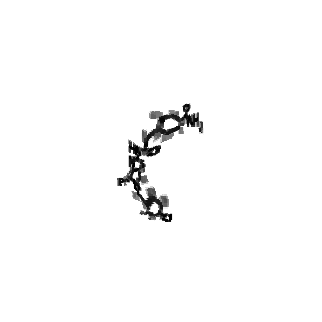 CC(C)[C@H]1c2nc(NC(=O)Cc3ccc(C(N)=O)cc3)sc2CN1Cc1ccc(Cl)cc1